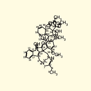 CCC1=C[C@H]2C[N@](C1)Cc1c([nH]c3ccccc13)C(C(=O)CO)(c1cc3c(cc1OC)N(C)[C@H]1[C@@](O)(C(=O)OC)[C@H](OC(C)=O)[C@@]4(CC)C=CCN5CC[C@]31[C@H]54)C2